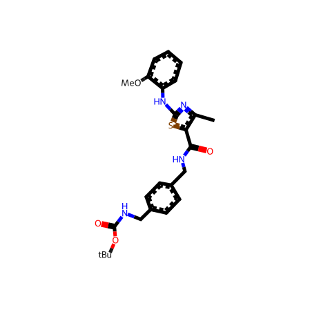 COc1ccccc1Nc1nc(C)c(C(=O)NCc2ccc(CNC(=O)OC(C)(C)C)cc2)s1